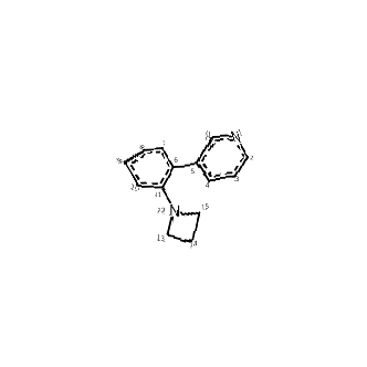 [c]1ncccc1-c1ccccc1N1CCC1